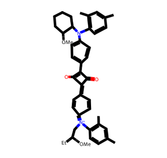 CCC(C[N+](=C1C=CC(=C2C(=O)C(c3ccc(N(c4ccc(C)cc4C)C4CCCCC4OC)cc3)=C2[O-])C=C1)c1ccc(C)cc1C)OC